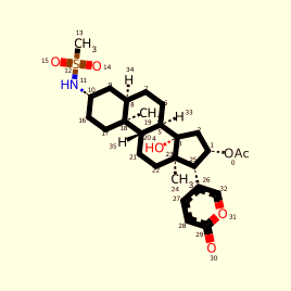 CC(=O)O[C@H]1C[C@]2(O)[C@@H]3CC[C@@H]4C[C@@H](NS(C)(=O)=O)CC[C@]4(C)[C@H]3CC[C@]2(C)[C@H]1c1ccc(=O)oc1